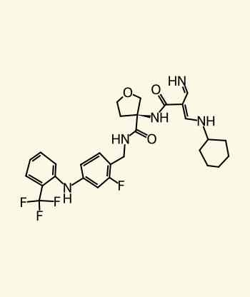 N=C/C(=C\NC1CCCCC1)C(=O)N[C@@]1(C(=O)NCc2ccc(Nc3ccccc3C(F)(F)F)cc2F)CCOC1